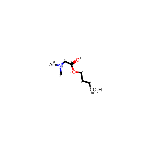 CC(=O)N(C)CC(=O)OCCCC(=O)O